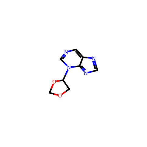 c1nc2cncn(C3COCO3)c-2n1